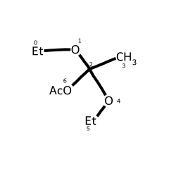 CCOC(C)(OCC)OC(C)=O